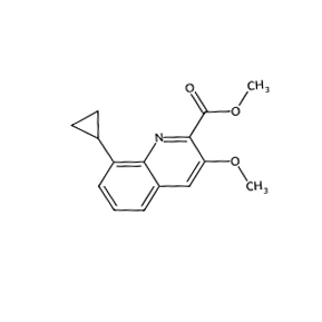 COC(=O)c1nc2c(C3CC3)cccc2cc1OC